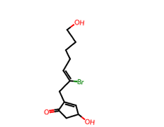 O=C1CC(O)C=C1C/C(Br)=C/CCCCO